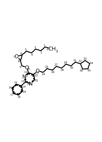 CCCCCCC1OC1COc1nc(-c2ccccc2)ncc1OCCCCCCCCC1CCCC1